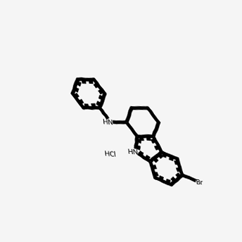 Brc1ccc2[nH]c3c(c2c1)CCCC3Nc1ccccc1.Cl